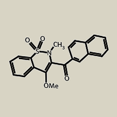 COC1=C(C(=O)c2ccc3ccccc3c2)N(C)S(=O)(=O)c2ccccc21